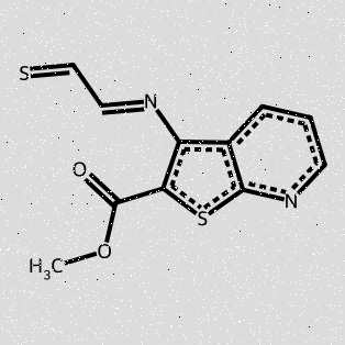 COC(=O)c1sc2ncccc2c1N=CC=S